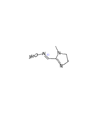 CO/N=C/C1=NCCN1C